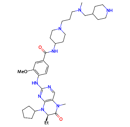 CC[C@@H]1C(=O)N(C)c2cnc(Nc3ccc(C(=O)NC4CCN(CCCN(C)CC5CCNCC5)CC4)cc3OC)nc2N1C1CCCC1